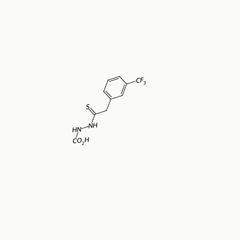 O=C(O)NNC(=S)Cc1cccc(C(F)(F)F)c1